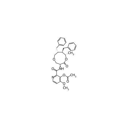 COc1ccnc(C(=O)N[C@H]2COC[C@H](Cc3ccccc3)[C@@H](Cc3ccccc3)[C@H](C)OC2=O)c1OC(C)=O